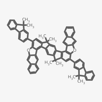 CC1(C)c2ccccc2-c2ccc(-c3cc4c(c5c3oc3cc6ccccc6cc35)-c3cc5c(cc3C4(C)C)-c3c(cc(-c4ccc6c(c4)C(C)(C)c4ccccc4-6)c4oc6cc7ccccc7cc6c34)C5(C)C)cc21